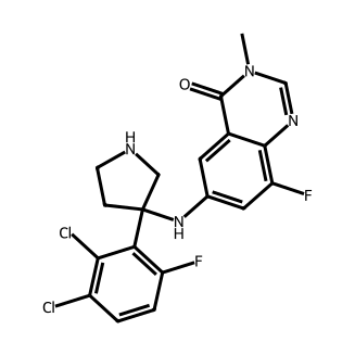 Cn1cnc2c(F)cc(NC3(c4c(F)ccc(Cl)c4Cl)CCNC3)cc2c1=O